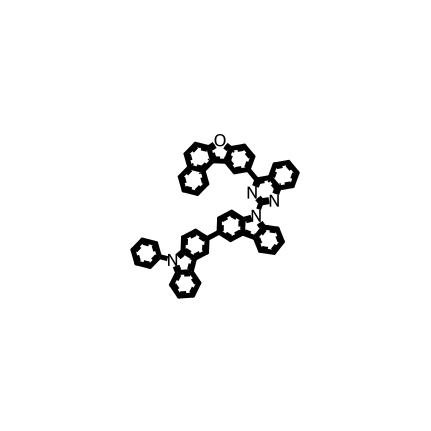 c1ccc(-n2c3ccccc3c3cc(-c4ccc5c(c4)c4ccccc4n5-c4nc(-c5ccc6oc7ccc8ccccc8c7c6c5)c5ccccc5n4)ccc32)cc1